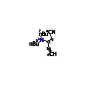 C#CC(CC#N)N(CCCC)CCCC